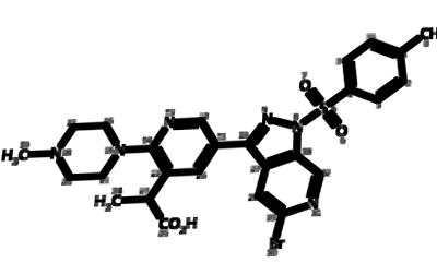 Cc1ccc(S(=O)(=O)n2nc(-c3cnc(N4CCN(C)CC4)c(C(C)C(=O)O)c3)c3cc(Br)ncc32)cc1